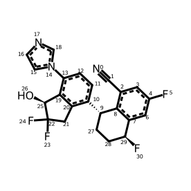 N#Cc1cc(F)cc2c1[C@@H](c1ccc(-n3ccnc3)c3c1CC(F)(F)[C@H]3O)CC[C@@H]2F